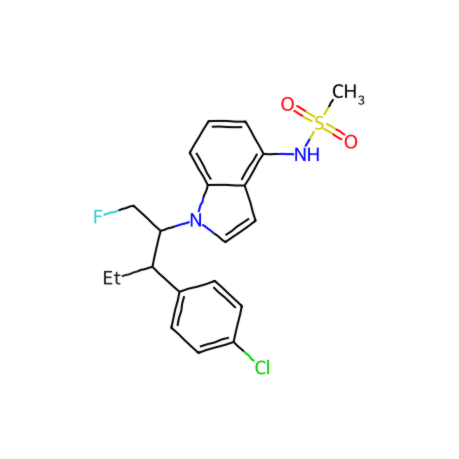 CCC(c1ccc(Cl)cc1)C(CF)n1ccc2c(NS(C)(=O)=O)cccc21